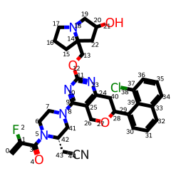 C=C(F)C(=O)N1CCN(c2nc(OCC34CCCN3CC(O)C4)nc3c2COC(c2cccc4cccc(Cl)c24)C3)C[C@@H]1CC#N